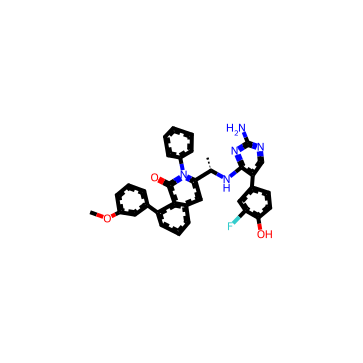 COc1cccc(-c2cccc3cc([C@H](C)Nc4nc(N)ncc4-c4ccc(O)c(F)c4)n(-c4ccccc4)c(=O)c23)c1